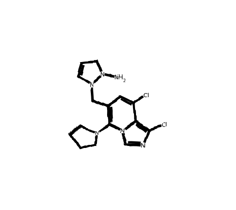 NN1CC=CN1Cc1cc(Cl)c2c(Cl)ncn2c1N1CCCC1